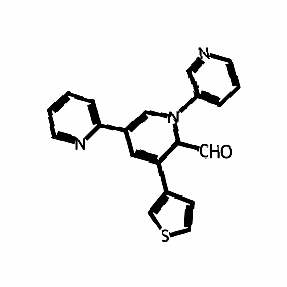 O=CC1C(c2ccsc2)=CC(c2ccccn2)=CN1c1cccnc1